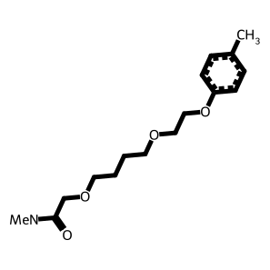 CNC(=O)COCCCCOCCOc1ccc(C)cc1